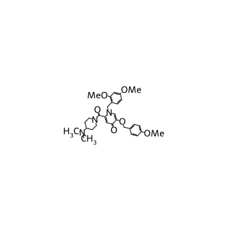 COc1ccc(COc2cn(Cc3ccc(OC)cc3OC)c(C(=O)N3CCC(N(C)C)CC3)cc2=O)cc1